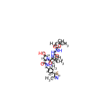 Cc1ncsc1-c1ccc(CNC(=O)[C@@H]2C[C@@H](O)CN2C(=O)[C@@H](NC(=O)CNC(=O)OC(C)(C)C)C(C)(C)C)cc1